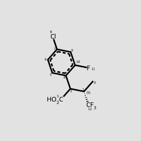 C[C@@H](C(C(=O)O)c1ccc(Cl)cc1F)C(F)(F)F